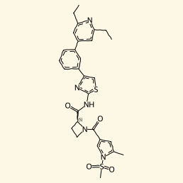 CCc1cc(-c2cccc(-c3csc(NC(=O)[C@@H]4CCN4C(=O)c4cc(C)n(S(C)(=O)=O)c4)n3)c2)cc(CC)n1